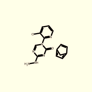 C1=CC2=CC=C1C2.NNc1ncn(-c2ncccc2Cl)c(=O)n1